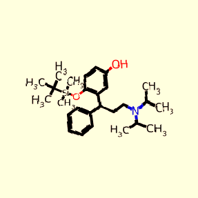 CC(C)N(CCC(c1ccccc1)c1cc(O)ccc1O[Si](C)(C)C(C)(C)C)C(C)C